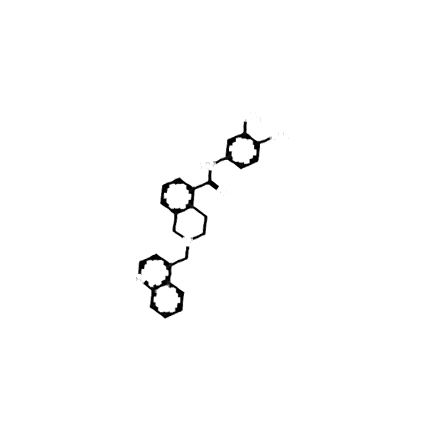 Cc1ccc(NC(=O)c2cccc3c2CCN(Cc2ccnc4ccccc24)C3)cc1C